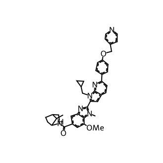 COc1cc(C(=O)N2CC3CCC2[C@@H]3C)cc2nc(-c3cc4ccc(-c5ccc(OCc6ccncc6)cc5)nc4n3CC3CC3)n(C)c12